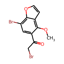 COc1c(C(=O)CBr)cc(Br)c2occc12